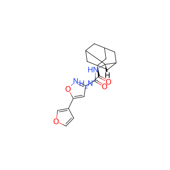 NC(=O)[C@]12CC3CC(C1)[C@@H](NC(=O)c1cc(-c4ccoc4)on1)C(C3)C2